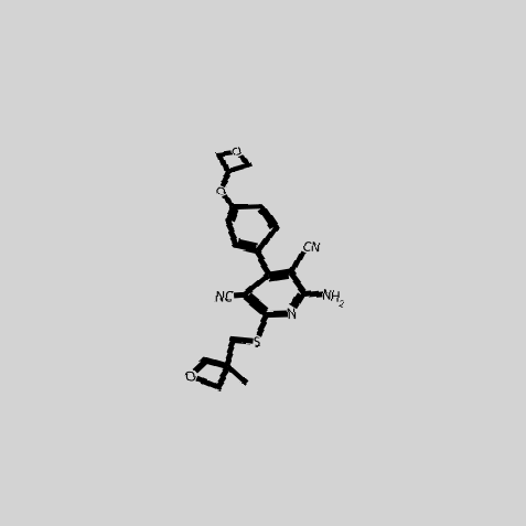 CC1(CSc2nc(N)c(C#N)c(-c3ccc(OC4COC4)cc3)c2C#N)COC1